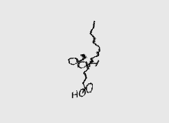 C=CC(=O)O.CCCCCCCCCCCCCCCC(=O)O